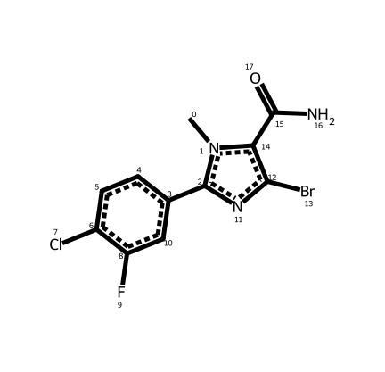 Cn1c(-c2ccc(Cl)c(F)c2)nc(Br)c1C(N)=O